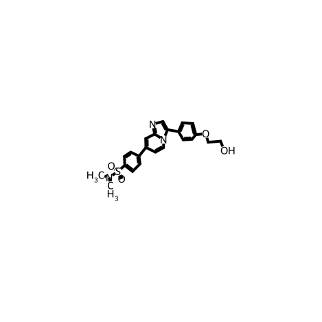 CN(C)S(=O)(=O)c1ccc(-c2ccn3c(-c4ccc(OCCO)cc4)cnc3c2)cc1